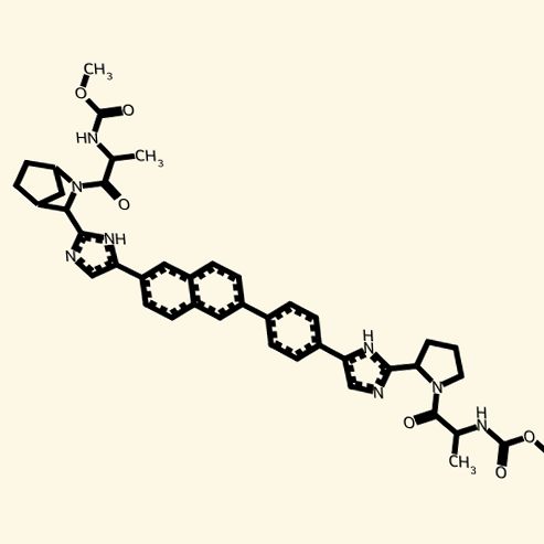 COC(=O)NC(C)C(=O)N1CCCC1c1ncc(-c2ccc(-c3ccc4cc(-c5cnc(C6C7CCC(C7)N6C(=O)C(C)NC(=O)OC)[nH]5)ccc4c3)cc2)[nH]1